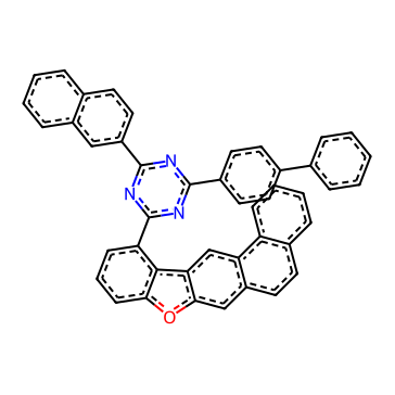 c1ccc(-c2ccc(-c3nc(-c4ccc5ccccc5c4)nc(-c4cccc5oc6cc7ccc8ccccc8c7cc6c45)n3)cc2)cc1